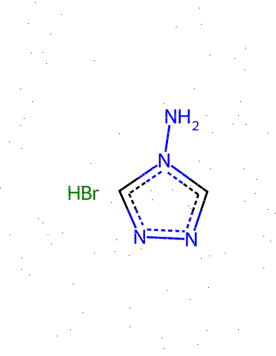 Br.Nn1cnnc1